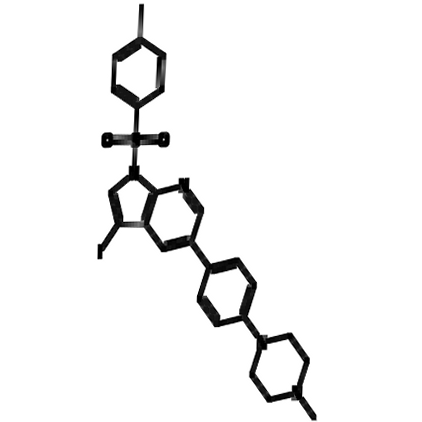 Cc1ccc(S(=O)(=O)n2cc(I)c3cc(-c4ccc(N5CCN(C)CC5)cc4)cnc32)cc1